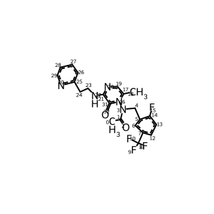 CC(=O)N(Cc1cc(C(F)(F)F)ccc1F)n1c(C)cnc(NCCc2ccccn2)c1=O